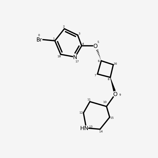 Brc1ccc(O[C@H]2C[C@H](OC3CCNCC3)C2)nc1